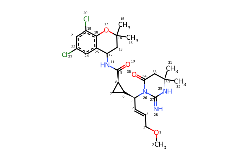 COC/C=C/[C@@H](C1C[C@H]1C(=O)NC1CC(C)(C)Oc2c(Cl)cc(Cl)cc21)N1C(=N)NC(C)(C)CC1=O